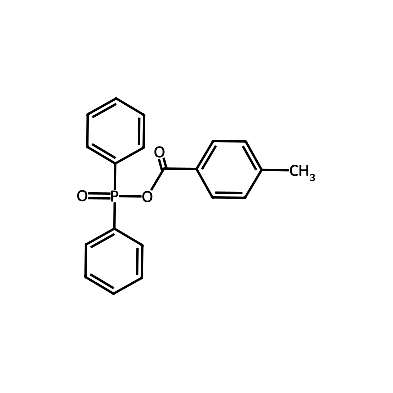 Cc1ccc(C(=O)OP(=O)(c2ccccc2)c2ccccc2)cc1